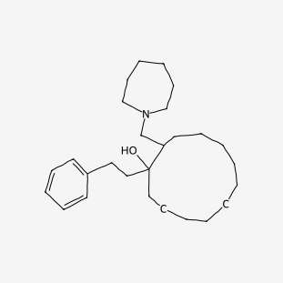 OC1(CCc2ccccc2)CCCCCCCCCCC1CN1CCCCCC1